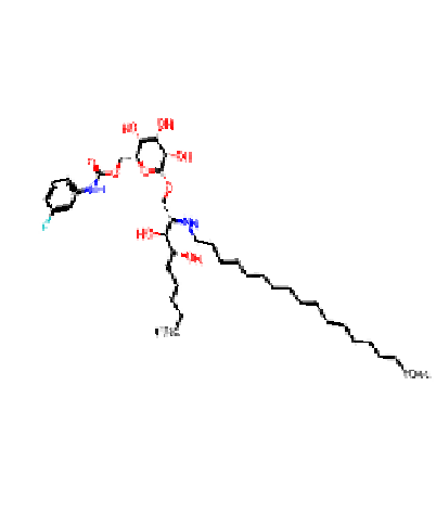 CCCCCCCCCCCCCCCCCCCCCCCCCCN[C@@H](CO[C@@H]1O[C@H](COC(=O)Nc2cccc(F)c2)[C@H](O)[C@H](O)[C@H]1O)[C@H](O)[C@H](O)CCCCCCCCCCCCCC